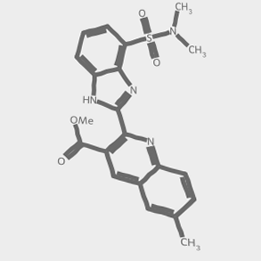 COC(=O)c1cc2cc(C)ccc2nc1-c1nc2c(S(=O)(=O)N(C)C)cccc2[nH]1